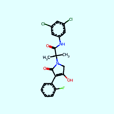 CC(C)(C(=O)Nc1cc(Cl)cc(Cl)c1)N1CC(O)=C(c2ccccc2F)C1=O